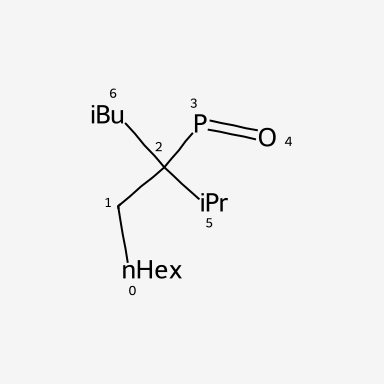 CCCCCCCC(P=O)(C(C)C)C(C)CC